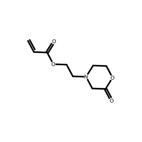 C=CC(=O)OCCN1CCOC(=O)C1